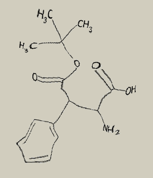 CC(C)(C)OC(=O)C(c1ccccc1)C(N)C(=O)O